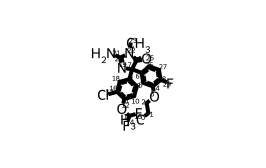 CCCOc1cc(C2(c3ccc(OC(F)F)c(Cl)c3)N=C(N)N(C)C2=O)ccc1F